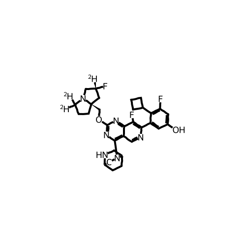 [2H]C1([2H])CC[C@@]2(COc3nc(N4CC5CCC4CN5)c4cnc(-c5cc(O)cc(F)c5C5CCC5)c(F)c4n3)C[C@@]([2H])(F)CN12